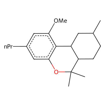 CCCc1cc(OC)c2c(c1)OC(C)(C)C1CCC(C)CC21